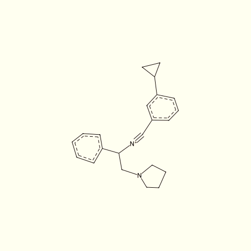 C(#[N+]C(CN1CCCC1)c1ccccc1)c1cccc(C2CC2)c1